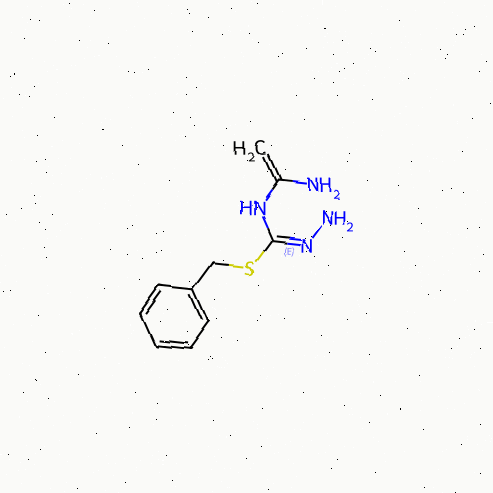 C=C(N)N/C(=N\N)SCc1ccccc1